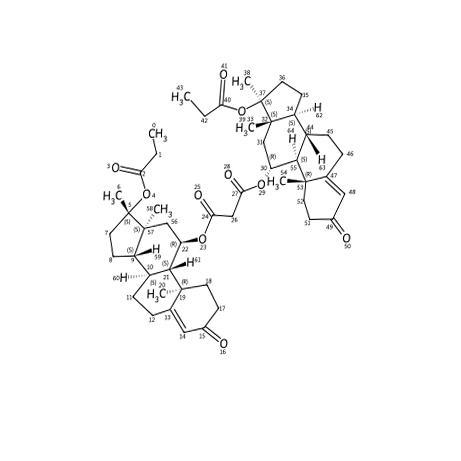 CCC(=O)O[C@@]1(C)CC[C@H]2[C@@H]3CCC4=CC(=O)CC[C@]4(C)[C@H]3[C@H](OC(=O)CC(=O)O[C@@H]3C[C@@]4(C)[C@@H](CC[C@]4(C)OC(=O)CC)[C@@H]4CCC5=CC(=O)CC[C@]5(C)[C@H]43)C[C@@]21C